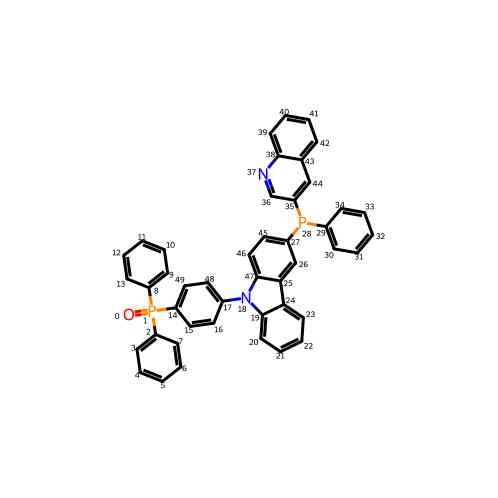 O=P(c1ccccc1)(c1ccccc1)c1ccc(-n2c3ccccc3c3cc(P(c4ccccc4)c4cnc5ccccc5c4)ccc32)cc1